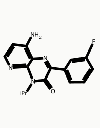 CC(C)n1c(=O)c(-c2cccc(F)c2)nc2c(N)ccnc21